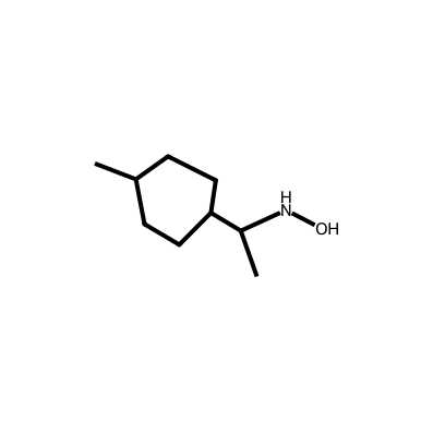 CC1CCC(C(C)NO)CC1